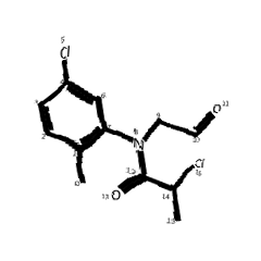 Cc1ccc(Cl)cc1N(CC=O)C(=O)C(C)Cl